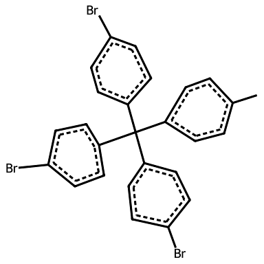 Cc1ccc(C(c2ccc(Br)cc2)(c2ccc(Br)cc2)c2ccc(Br)cc2)cc1